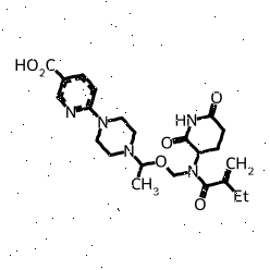 C=C(CC)C(=O)N(COC(C)N1CCN(c2ccc(C(=O)O)cn2)CC1)C1CCC(=O)NC1=O